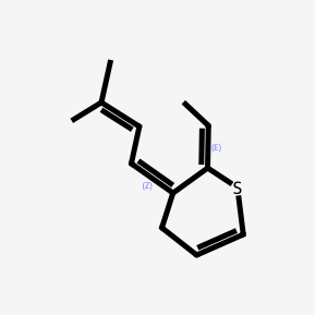 C/C=C1/SC=CC/C1=C/C=C(C)C